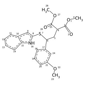 COC(=O)C(CC(Sc1cc2ccccc2[nH]1)c1cccc(OC)c1)C(=O)OC